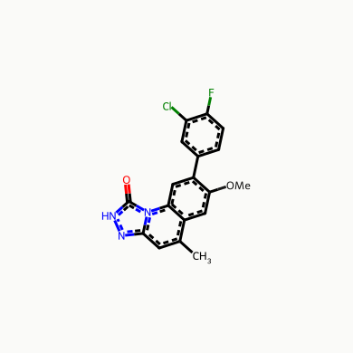 COc1cc2c(C)cc3n[nH]c(=O)n3c2cc1-c1ccc(F)c(Cl)c1